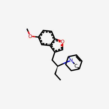 CC[C@@H](Cc1coc2ccc(OC)cc12)N1CC2C=CC1CC2